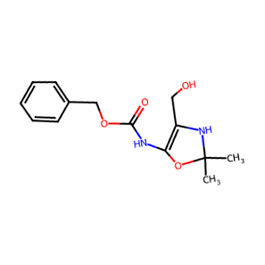 CC1(C)NC(CO)=C(NC(=O)OCc2ccccc2)O1